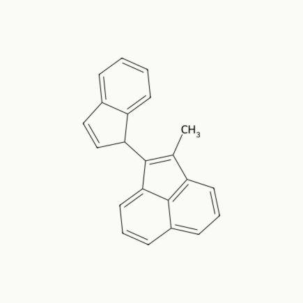 CC1=C(C2C=Cc3ccccc32)c2cccc3cccc1c23